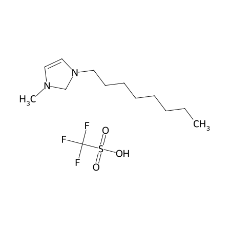 CCCCCCCCN1C=CN(C)C1.O=S(=O)(O)C(F)(F)F